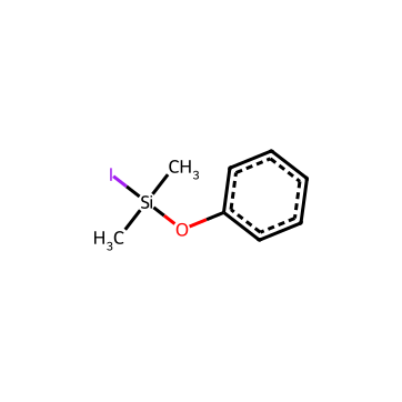 C[Si](C)(I)Oc1ccccc1